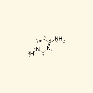 [2H]N1C=CC(N)=NC1